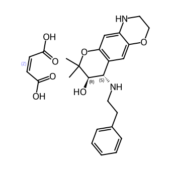 CC1(C)Oc2cc3c(cc2[C@H](NCCc2ccccc2)[C@H]1O)OCCN3.O=C(O)/C=C\C(=O)O